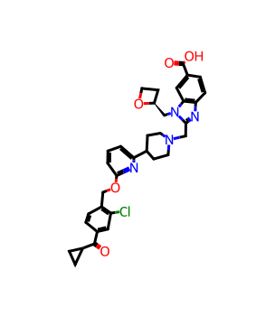 O=C(O)c1ccc2nc(CN3CCC(c4cccc(OCc5ccc(C(=O)C6CC6)cc5Cl)n4)CC3)n(C[C@@H]3CCO3)c2c1